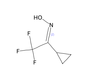 O/N=C(/C1CC1)C(F)(F)F